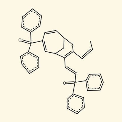 C/C=C\C1=C(/C=C/P(=O)(c2ccccc2)c2ccccc2)C2C=C(P(=O)(c3ccccc3)c3ccccc3)C=CC(C2)S1